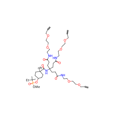 C#CCOCCOCCNC(=O)CCC(CCC(=O)NCCOCCOCC#C)(CCC(=O)NCCOCCOCC#C)NC(=O)C1(CCC)CCC(OP(=O)(OC)C(C)(C)CC)CC1